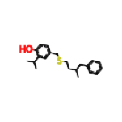 CC(CCSCc1ccc(O)c(C(C)C)c1)Cc1ccccc1